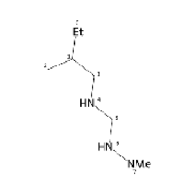 CCC(C)CNCNNC